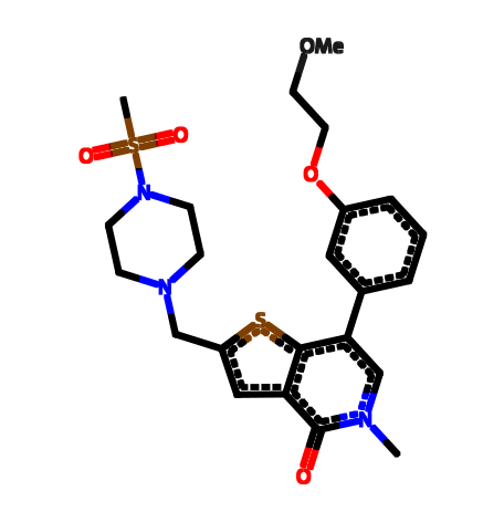 COCCOc1cccc(-c2cn(C)c(=O)c3cc(CN4CCN(S(C)(=O)=O)CC4)sc23)c1